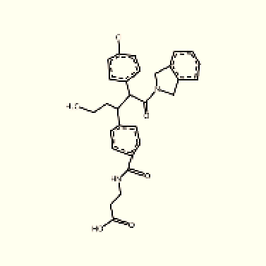 CCCC(c1ccc(C(=O)NCCC(=O)O)cc1)C(C(=O)N1Cc2ccccc2C1)c1ccc(Cl)cc1